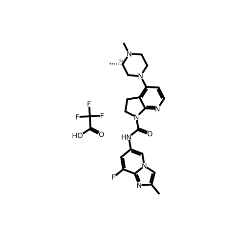 Cc1cn2cc(NC(=O)N3CCc4c(N5CCN(C)[C@@H](C)C5)ccnc43)cc(F)c2n1.O=C(O)C(F)(F)F